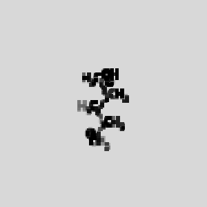 CC(=O)CCC=C(C)CCC=C(C)CCC=C(C)CCC=C(C)C(=O)O